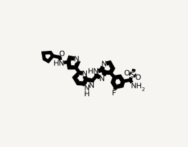 CS(=O)(=O)C(N)c1cc(F)cc(-c2ccnc3[nH]c(-c4n[nH]c5ccc(-c6cncc(NC(=O)C7CCCC7)c6)nc45)nc23)c1